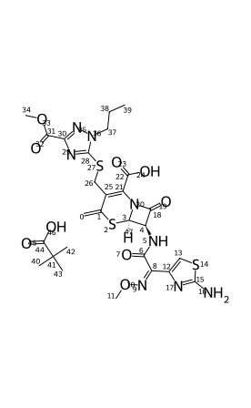 C=C1S[C@@H]2[C@H](NC(=O)/C(=N\OC)c3csc(N)n3)C(=O)N2C(C(=O)O)=C1CSc1nc(C(=O)OC)nn1CCC.CC(C)(C)C(=O)O